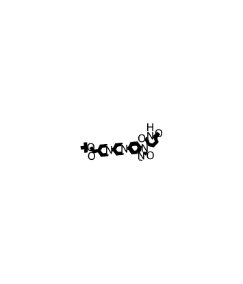 Cn1c(=O)n(C2CCC(=O)NC2=O)c2ccc(N3CCC(N4CCC(C(=O)OC(C)(C)C)CC4)CC3)cc21